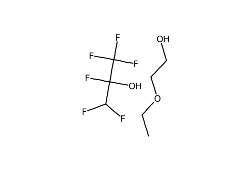 CCOCCO.OC(F)(C(F)F)C(F)(F)F